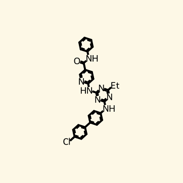 CCc1nc(Nc2ccc(-c3ccc(Cl)cc3)cc2)nc(Nc2ccc(C(=O)Nc3ccccc3)cn2)n1